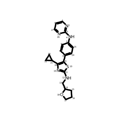 c1cnc(Nc2ccc(-c3sc(NCC4CCCO4)nc3C3CC3)cc2)nc1